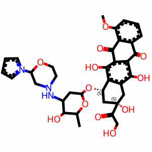 COc1cccc2c1C(=O)c1c(O)c3c(c(O)c1C2=O)C[C@@](O)(C(=O)CO)C[C@@H]3OC1CC(NN2CCOC(n3cccc3)C2)C(O)C(C)O1